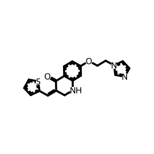 O=C1C(=Cc2cccs2)CNc2cc(OCCn3ccnc3)ccc21